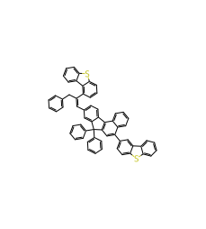 C(=C(\Cc1ccccc1)c1cccc2sc3ccccc3c12)/c1ccc2c(c1)C(c1ccccc1)(c1ccccc1)c1cc(-c3ccc4sc5ccccc5c4c3)c3ccccc3c1-2